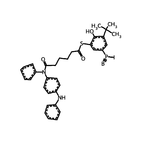 B#P(I)c1cc(SC(=O)CCCCC(=O)N(c2ccccc2)c2ccc(Nc3ccccc3)cc2)c(O)c(C(C)(C)C)c1